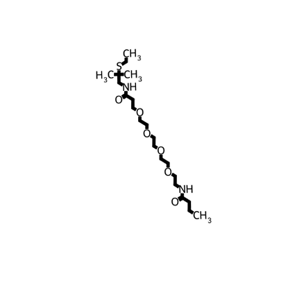 CCCC(=O)NCCOCCOCCOCCOCCC(=O)NCC(C)(C)SCC